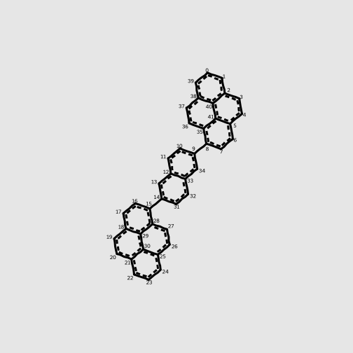 c1cc2ccc3ccc(-c4ccc5cc(-c6ccc7ccc8cccc9ccc6c7c89)ccc5c4)c4ccc(c1)c2c34